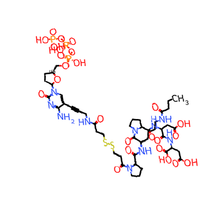 CCCC(=O)NCCCCC(NC(=O)C1CCCN1C(=O)CCSSCCC(=O)NCC#Cc1cn(C2CC[C@@H](COP(=O)(O)OP(=O)(O)OP(=O)(O)O)O2)c(=O)nc1N)C(=O)N1CCCC1C(=O)NC(CC(=O)O)C(=O)NC(CC(=O)O)C(=O)O